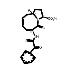 O=C(N[C@H]1CC=CC[C@@H]2CC[C@@H](C(=O)O)N2C1=O)C(=O)c1ccccc1